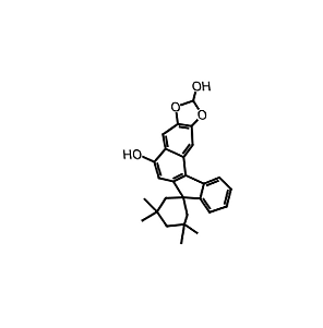 CC1(C)CC(C)(C)CC2(C1)c1ccccc1-c1c2cc(O)c2cc3c(cc12)OC(O)O3